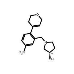 O=[N+]([O-])c1ccc(C2=CCOCC2)c(CN2CC[C@@H](O)C2)c1